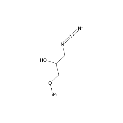 CC(C)OCC(O)CN=[N+]=[N-]